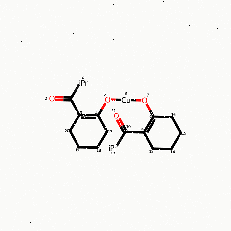 CC(C)C(=O)C1=C([O][Cu][O]C2=C(C(=O)C(C)C)CCCC2)CCCC1